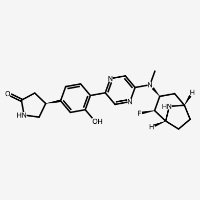 CN(c1cnc(-c2ccc([C@H]3CNC(=O)C3)cc2O)cn1)[C@H]1C[C@@H]2CC[C@@H](N2)[C@H]1F